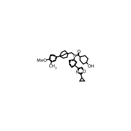 COc1ccc(C23CCC(CN(C(=O)C4CCC(O)CC4)c4cccc(-c5coc(C6CC6)n5)c4)(CC2)CC3)cc1C